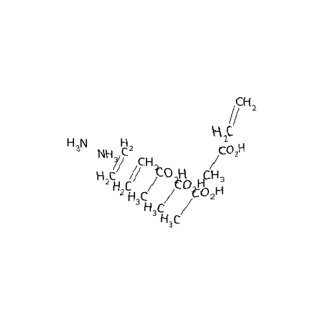 C=C.C=C.C=C.CC(=O)O.CC(=O)O.CC(=O)O.CC(=O)O.N.N